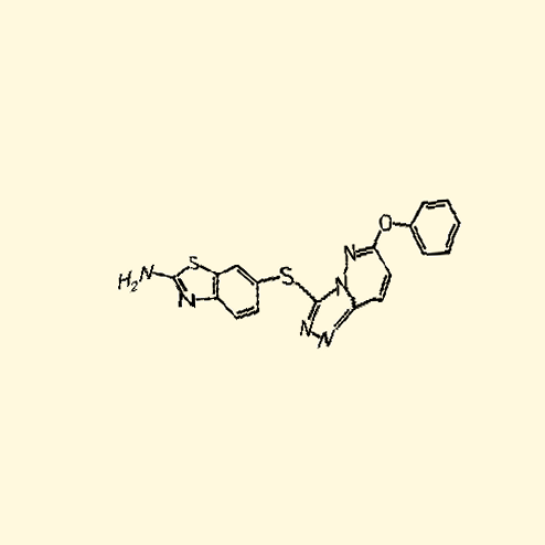 Nc1nc2ccc(Sc3nnc4ccc(Oc5ccccc5)nn34)cc2s1